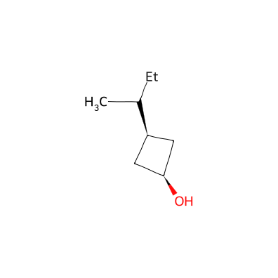 CCC(C)[C@H]1C[C@@H](O)C1